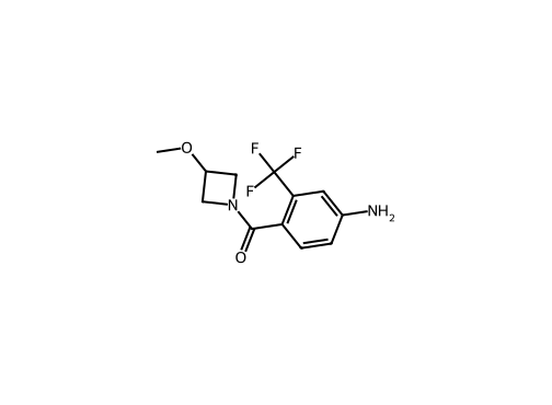 COC1CN(C(=O)c2ccc(N)cc2C(F)(F)F)C1